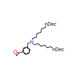 CCCCCCCCCCCCCCCCN(CCCCCCCCCCCCCCCC)Cc1cccc(C2CO2)c1